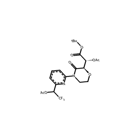 CC(=O)OC(c1cccc(N2CCO[C@H]([C@@H](OC(C)=O)C(=O)OC(C)(C)C)C2=O)n1)C(F)(F)F